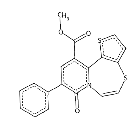 COC(=O)c1cc(-c2ccccc2)c(=O)n2c1-c1sccc1SC=C2